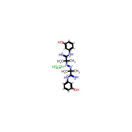 CC(C)(N=NC(C)(C)C(=N)Nc1cccc(O)c1)C(=N)Nc1cccc(O)c1.Cl.Cl